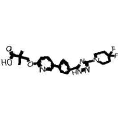 CC(C)(COc1ccc(-c2ccc(-c3nc(N4CCC(F)(F)CC4)n[nH]3)cc2)cn1)C(=O)O